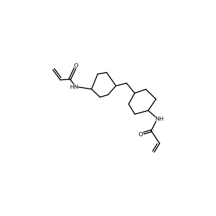 C=CC(=O)NC1CCC(CC2CCC(NC(=O)C=C)CC2)CC1